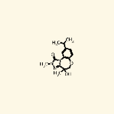 CC(C)c1ccc2c(c1)-n1c(nn(C)c1=O)C(C)(O)CO2